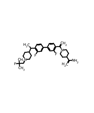 C=C(N)C1CCN(C(=C)c2ccc(-c3ccc(C(C)C4CCN(CC(C)(C)F)CC4)c(F)c3)cc2F)CC1